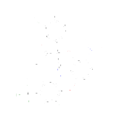 CCC(=O)C(C#N)(Oc1cc(Oc2ccc(C(F)(F)F)cc2Cl)ccc1[N+](=O)[O-])c1ccc(Cl)c(Cl)c1